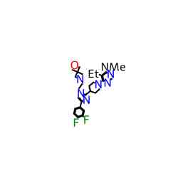 CCc1c(NC)ncnc1N1CCC(c2nc(-c3ccc(F)c(F)c3)cn2CCN2CC3(COC3)C2)CC1